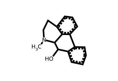 CN1CCc2cccc3c2C1C(O)c1ccccc1-3